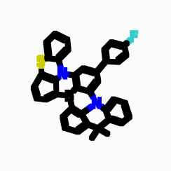 CC1(C)c2ccccc2N2c3cc(-c4ccc(F)cc4)cc4c3B(c3cccc5c3N4c3ccccc3S5)c3cccc1c32